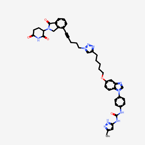 CC(C)(C)c1cc(NC(=O)Nc2ccc(-n3cnc4cc(OCCCCCc5cn(CCCC#Cc6cccc7c6CN(C6CCC(=O)NC6=O)C7=O)nn5)ccc43)cc2)[nH]n1